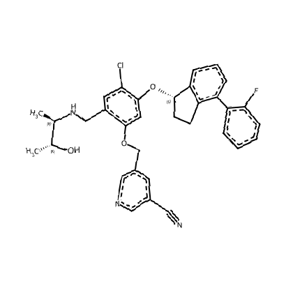 C[C@@H](O)[C@@H](C)NCc1cc(Cl)c(O[C@H]2CCc3c(-c4ccccc4F)cccc32)cc1OCc1cncc(C#N)c1